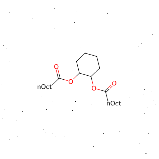 CCCCCCCCC(=O)OC1CCCCC1OC(=O)CCCCCCCC